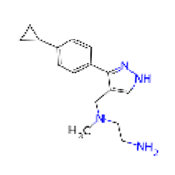 CN(CCN)Cc1c[nH]nc1-c1ccc(C2CC2)cc1